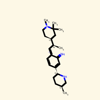 C[C@H]1CC[C@H](C2=CC(=N)/C(=C\[C@H](C)[C@H]3CCN(C)C(C)(C)C3)C=C2)NC1